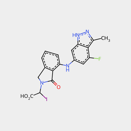 Cc1n[nH]c2cc(Nc3cccc4c3C(=O)N(C(I)C(=O)O)C4)cc(F)c12